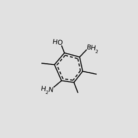 Bc1c(C)c(C)c(N)c(C)c1O